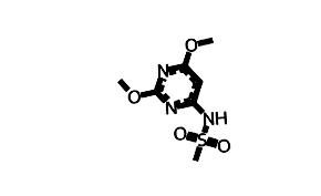 COc1cc(NS(C)(=O)=O)nc(OC)n1